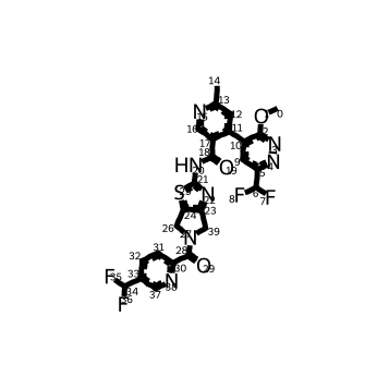 COc1nnc(C(F)F)cc1-c1cc(C)ncc1C(=O)Nc1nc2c(s1)CN(C(=O)c1ccc(C(F)F)cn1)C2